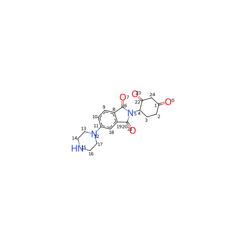 O=C1CCC(N2C(=O)c3ccc(N4CCNCC4)cc3C2=O)C(=O)C1